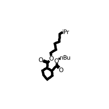 CCCCOC(=O)C1CCCCC1C(=O)OCCCCCC(C)C